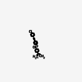 C=CC(CC)[C@H]1CC[C@H](C(=O)Oc2ccc(C#C[C@H]3CC[C@H](Cl)CC3)cc2)CC1